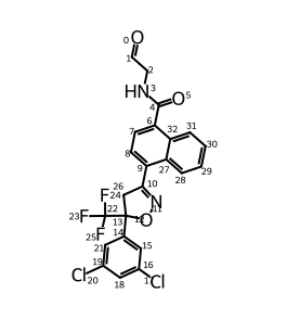 O=CCNC(=O)c1ccc(C2=NOC(c3cc(Cl)cc(Cl)c3)(C(F)(F)F)C2)c2ccccc12